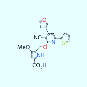 COc1cc(C(=O)O)[nH]c1COc1nc(-c2cccs2)cc(-c2ccoc2)c1C#N